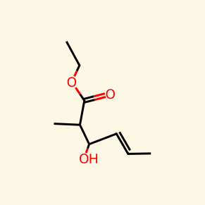 CC=CC(O)C(C)C(=O)OCC